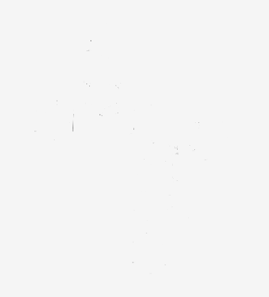 c1ccc(-c2nc(-c3ccccc3)nc(-c3ccc4c(c3)c3cc5sc6c7ccccc7ccc6c5cc3n4-c3ccccc3)n2)cc1